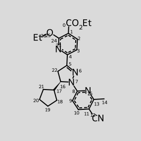 CCOC(=O)c1ccc(C2=NN(c3ccc(C#N)c(C)n3)[C@@H](C3CCCC3)C2)nc1OCC